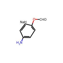 Nc1ccc(OC=O)cc1.[NaH]